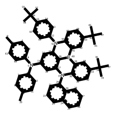 Cc1ccc(N(c2ccc(C)cc2)c2cc3c4c(c2)N(c2cccc5ccccc25)c2ccc(C(C)(C)C)cc2B4c2cc(C(C)(C)C)ccc2N3c2ccc(C(C)(C)C)cc2)cc1